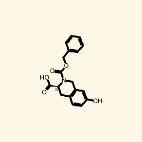 O=C(O)[C@@H]1Cc2ccc(O)cc2CN1C(=O)OCc1ccccc1